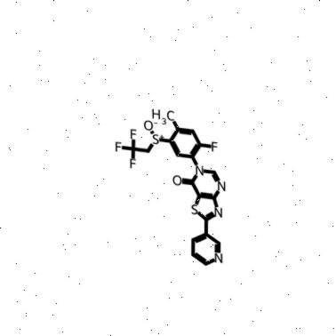 Cc1cc(F)c(-n2cnc3nc(-c4cccnc4)sc3c2=O)cc1[S+]([O-])CC(F)(F)F